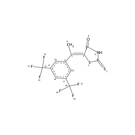 C/C(=C1/SC(=S)NC1=O)c1cc(C(F)(F)F)cc(C(F)(F)F)c1